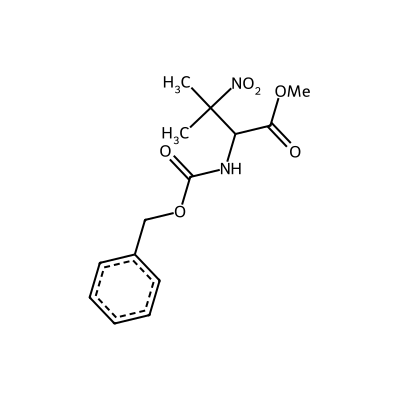 COC(=O)C(NC(=O)OCc1ccccc1)C(C)(C)[N+](=O)[O-]